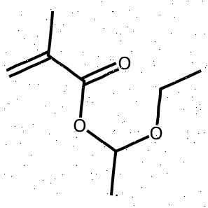 [CH2]C(OCC)OC(=O)C(=C)C